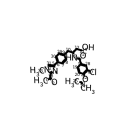 CC(=O)c1nc(-c2ccc(CC(CCO)NC(=O)c3ccc(OC(C)C)c(Cl)c3)cc2)cn1C